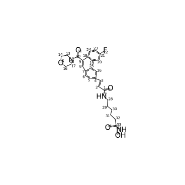 O=C(/C=C/c1ccc(/C=C(/C(=O)N2CCOCC2)c2ccc(F)cc2)cc1)NCCCCCC(=O)NO